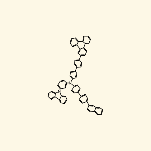 c1cc(N(c2ccc(-c3ccc(-c4ccc5ccccc5c4)cc3)cc2)c2ccc(-c3ccc(-c4ccc5c6ccccc6c6ccccc6c5c4)cc3)cc2)cc(-n2c3ccccc3c3ccccc32)c1